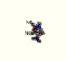 N#Cc1ccc(-c2ccc(-c3cc(-c4cccc(-c5nc(-c6ccccc6)nc(-c6cc(-c7ccc(C#N)cc7)cc7c6oc6ccccc67)n5)c4)c4c(oc5ccccc54)c3-c3ccc(-c4cc(-c5ccccc5)nc(-c5ccccc5)n4)cc3)cc2)cc1